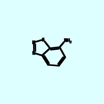 Nc1cccc2nnsc12